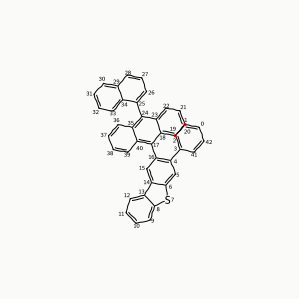 c1ccc(-c2cc3sc4ccccc4c3cc2-c2c3ccccc3c(-c3cccc4ccccc34)c3ccccc23)cc1